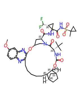 COc1ccc2nc3c(nc2c1)OC1C[C@@H](C(=O)N[C@]2(C(=O)NS(=O)(=O)C4(C)CC4)C[C@H]2C(F)F)N(C1)C(=O)[C@H](C(C)(C)C)NC(=O)O[C@@H]1[C@H]2CC[C@H](C2)[C@H]1CCCCC3